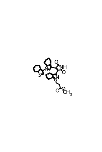 COC(=O)CCn1nc(C2=C(c3cn(-c4csc5ccccc45)c4ccccc34)C(=O)NC2=O)c2ccccc21